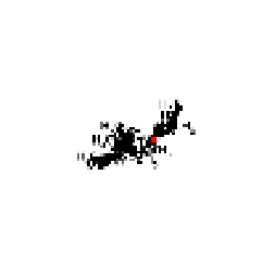 CC[C@@H]1CN(C(=O)c2cc3cc(C(C)=O)ccc3[nH]2)c2cc(OC(=O)N(C)CCN(C)C(=O)OCc3ccc(NC(=O)C(C)CCCCN)cc3)c3[nH]c(C)c(C(=O)OC)c3c21